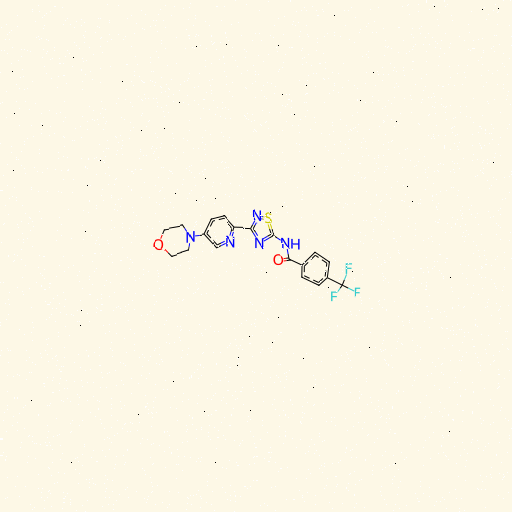 O=C(Nc1nc(-c2ccc(N3CCOCC3)cn2)ns1)c1ccc(C(F)(F)F)cc1